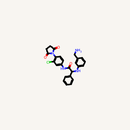 NCc1cccc(NC(C(=O)Nc2ccc(N3C(=O)CCC3=O)c(Cl)c2)c2ccccc2)c1